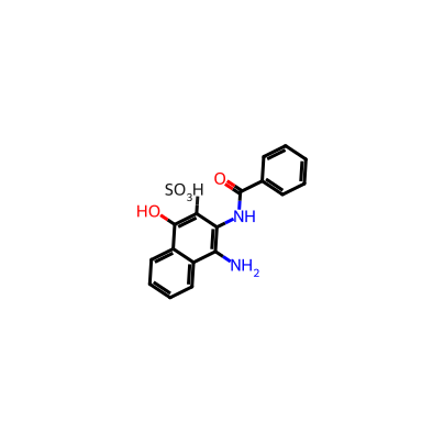 Nc1c(NC(=O)c2ccccc2)c(S(=O)(=O)O)c(O)c2ccccc12